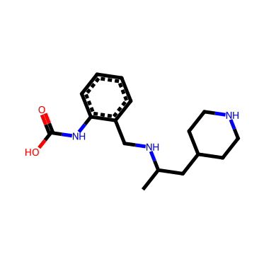 CC(CC1CCNCC1)NCc1ccccc1NC(=O)O